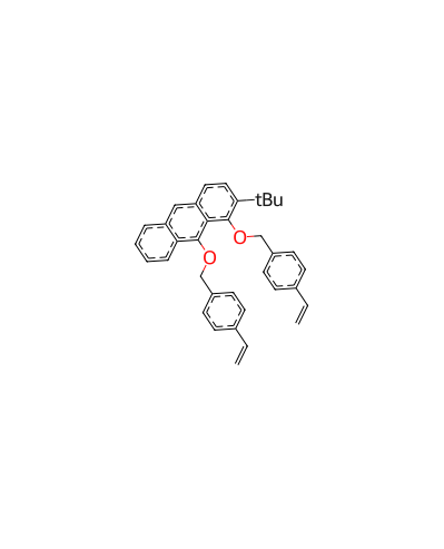 C=Cc1ccc(COc2c(C(C)(C)C)ccc3cc4ccccc4c(OCc4ccc(C=C)cc4)c23)cc1